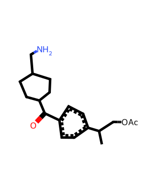 CC(=O)OCC(C)c1ccc(C(=O)C2CCC(CN)CC2)cc1